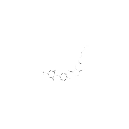 CCCCOC(=O)CN1C(=O)CSC1=Nc1cc(-n2c(=O)cc(C(F)(F)F)n(C)c2=O)c(F)cc1Cl